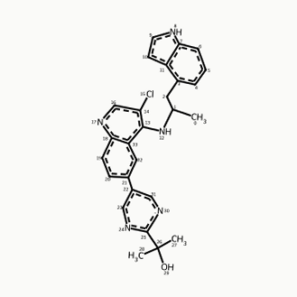 CC(Cc1cccc2[nH]ccc12)Nc1c(Cl)cnc2ccc(-c3cnc(C(C)(C)O)nc3)cc12